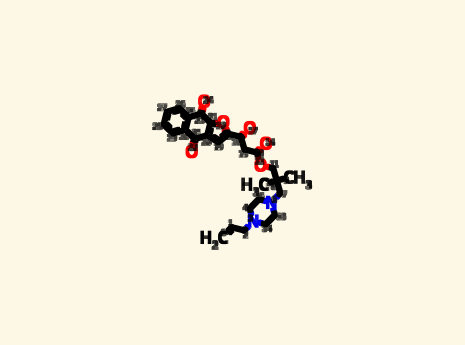 C=CCN1CCN(CC(C)(C)COC(=O)CC(=O)c2cc3c(o2)C(=O)c2ccccc2C3=O)CC1